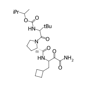 CC(C)C(C)OC(=O)NC(C(=O)N1CCC[C@H]1C(=O)NC(CC1CCC1)C(=O)C(N)=O)C(C)(C)C